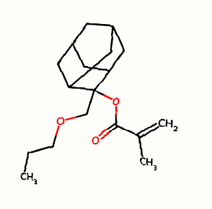 C=C(C)C(=O)OC1(COCCC)C2CC3CC(C2)CC1C3